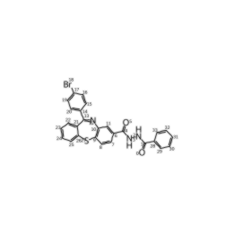 O=C(NNC(=O)c1ccc2c(c1)N=C(c1ccc(Br)cc1)c1ccccc1S2)c1ccccc1